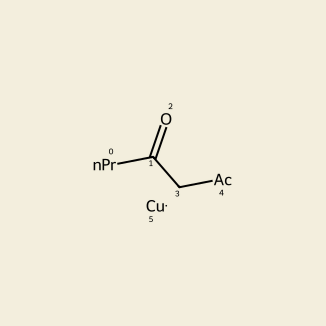 CCCC(=O)CC(C)=O.[Cu]